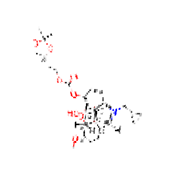 CO[C@@]12CC[C@@]3(C[C@@H]1[C@](C)(O)C(C)(C)C)[C@H]1Cc4ccc(OC(=O)OCC[C@@H]5COC(C)(C)O5)c5c4[C@@]3(CCN1CC1CC1)[C@H]2O5